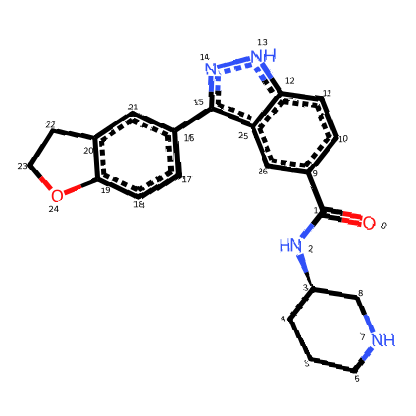 O=C(N[C@@H]1CCCNC1)c1ccc2[nH]nc(-c3ccc4c(c3)CCO4)c2c1